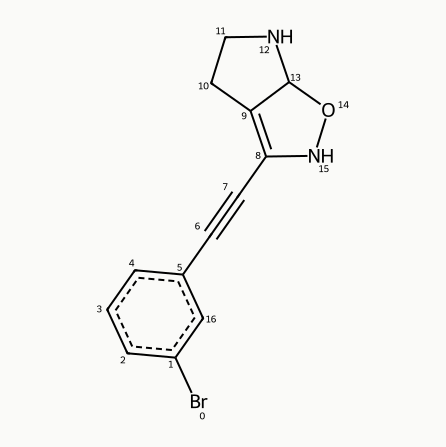 Brc1cccc(C#CC2=C3CCNC3ON2)c1